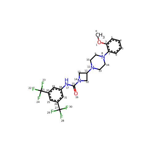 COc1ccccc1N1CCN(C2CN(C(=O)Nc3cc(C(F)(F)F)cc(C(F)(F)F)c3)C2)CC1